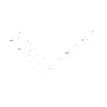 NCCN.NCCN.NCCN.NCCN.NCCN.NCCN.O=P(O)(O)CP(=O)(O)O.O=P(O)(O)CP(=O)(O)O.O=P(O)(O)CP(=O)(O)O.O=P(O)(O)CP(=O)(O)O